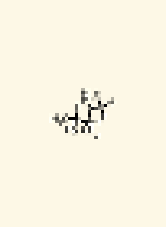 CC(C(F)(F)F)C(C)(F)C(C)(F)S